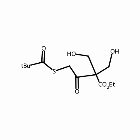 CCOC(=O)C(CO)(CO)C(=O)CSC(=O)C(C)(C)C